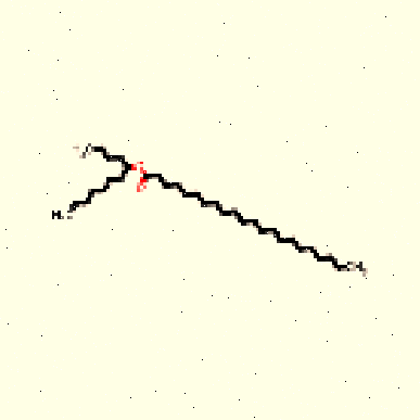 CCCCCCCCCCCCCCCCCCCCCC(=O)OC(CCCC)CCCCCCC